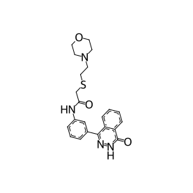 O=C(CSCCN1CCOCC1)Nc1cccc(-c2n[nH]c(=O)c3ccccc23)c1